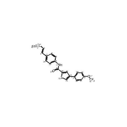 CCOC(=O)C=Cc1ccc(NC(=O)c2cc(-c3ccc(OC(F)(F)F)cc3)cs2)cc1